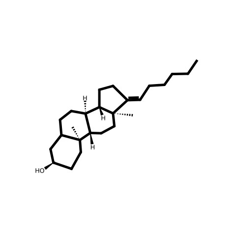 CCCCCC=C1CC[C@H]2[C@@H]3CCC4C[C@H](O)CC[C@]4(C)[C@H]3CC[C@]12C